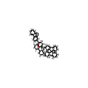 c1ccc(-c2ccccc2N(c2ccc(-c3ccc4c(c3)oc3ccccc34)cc2)c2ccc3c(c2)C2(c4ccccc4-c4ccccc42)c2ccccc2-3)cc1